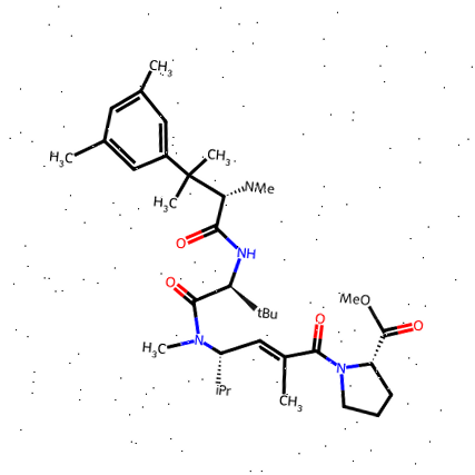 CN[C@H](C(=O)N[C@H](C(=O)N(C)[C@H](/C=C(\C)C(=O)N1CCC[C@H]1C(=O)OC)C(C)C)C(C)(C)C)C(C)(C)c1cc(C)cc(C)c1